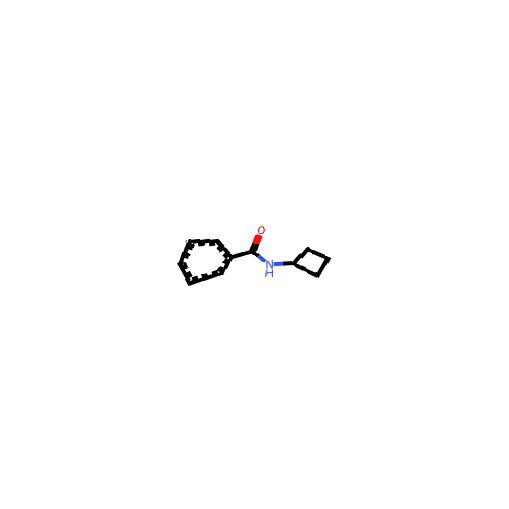 O=C(NC1CCC1)c1c[c]ccc1